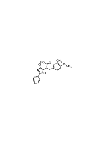 COc1ccc(CC(C(=O)O)c2[nH]c(-c3ccccc3)nc2Cl)cc1C